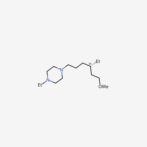 CC[C@@H](CCCN1CCN(CC)CC1)CCOC